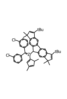 CC1=CC(C)[C]([Zr](=[C](c2cccc(Cl)c2)c2cccc(Cl)c2)[CH]2c3cc4c(cc3-c3cc5c(cc32)C(C)(C)C=C5C(C)(C)C)C(C(C)(C)C)=CC4(C)C)=C1